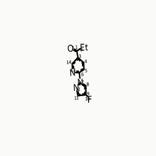 CCC(=O)c1ccc(-n2cc(F)cn2)nc1